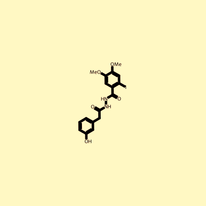 COc1cc(I)c(C(=O)NNC(=O)Cc2cccc(O)c2)cc1OC